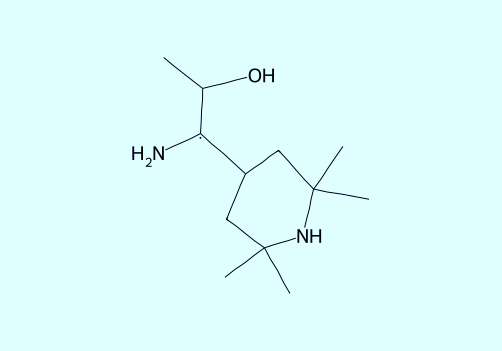 CC(O)[C](N)C1CC(C)(C)NC(C)(C)C1